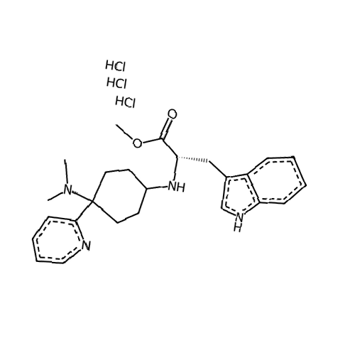 COC(=O)[C@H](Cc1c[nH]c2ccccc12)NC1CCC(c2ccccn2)(N(C)C)CC1.Cl.Cl.Cl